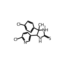 CC1(c2ccc(Cl)cc2)NC(=S)NC1c1ccc(Cl)nc1